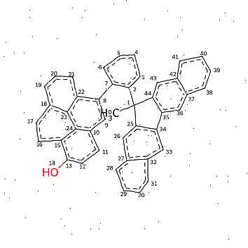 CC1(c2ccccc2-c2cc3ccc(O)c4ccc5cccc2c5c34)c2cc3ccccc3cc2-c2cc3ccccc3cc21